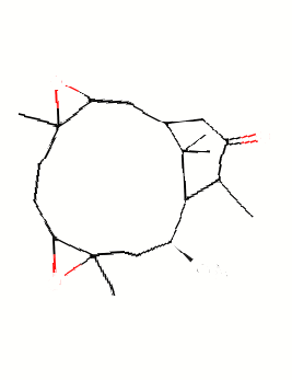 CC(=O)O[C@H]1CC2(C)OC2CCC2(C)OC2CC2CC(=O)C(C)C1C2(C)C